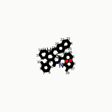 C=C(C1=C(c2ccccc2C)C2=C(C=CCC2)[C@H]2Cc3cc4ccccc4cc3SC12)/C(=N/c1ccccc1C)C(C)c1ccccc1